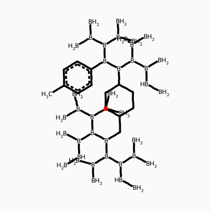 BBB(B)B(B(CC1CCC(B(B(B(B)B)B(B)BB)B(B(B(B)B)B(B)B)c2ccc(C)cc2)CC1)B(B(B)B)B(BB)B(B)B)B(B(B)B)B(B)B